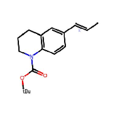 C/C=C/c1ccc2c(c1)CCCN2C(=O)OC(C)(C)C